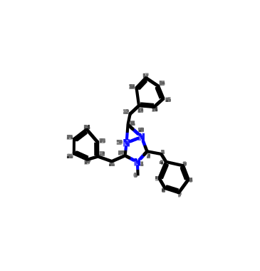 CN1C(Cc2ccccc2)N2C(Cc3ccccc3)N2C1Cc1ccccc1